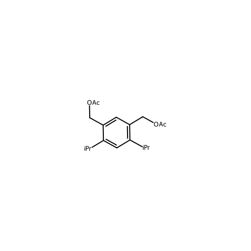 CC(=O)OCc1cc(COC(C)=O)c(C(C)C)cc1C(C)C